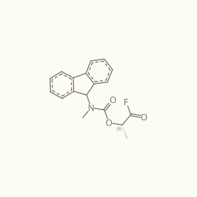 C[C@H](OC(=O)N(C)C1c2ccccc2-c2ccccc21)C(=O)F